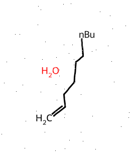 C=CCCCCCCCC.O